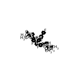 COC(=O)NC(C(=O)N1CCC[C@H]1c1nc2cc(F)c([C@H]3CC[C@H](c4cc5[nH]c([C@@H]6CCCN6C(=O)[C@@H](N=C=O)[C@@H](C)OC)nc5cc4F)N3c3cc(F)c(N4CCC(c5ccc(F)cc5)CC4)c(F)c3)cc2[nH]1)[C@@H](C)OC